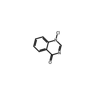 O=c1ncn(Cl)c2ccccc12